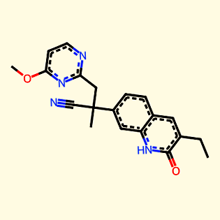 CCc1cc2ccc(C(C)(C#N)Cc3nccc(OC)n3)cc2[nH]c1=O